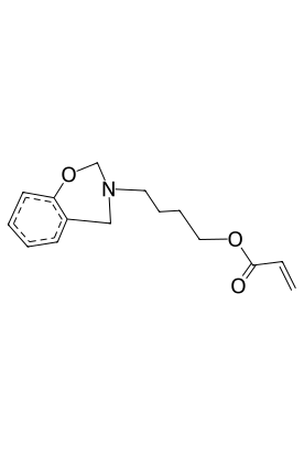 C=CC(=O)OCCCCN1COc2ccccc2C1